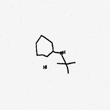 CC(C)(C)NC1CCCCC1.I